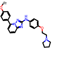 CC(C)Oc1ccc(-c2cccc3nc(Nc4ccc(OCCN5CCCC5)cc4)nn23)cc1